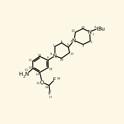 CC(C)(C)N1CCN(C2CCN(c3ccc(N)c(OC(F)F)c3)CC2)CC1